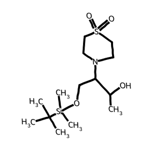 CC(O)C(CO[Si](C)(C)C(C)(C)C)N1CCS(=O)(=O)CC1